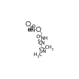 Cc1nc(C)c(-c2csc(NC(=O)Cc3cccc(NS(=O)(=O)c4ccccc4)c3)n2)s1